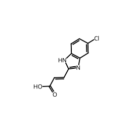 O=C(O)C=Cc1nc2cc(Cl)ccc2[nH]1